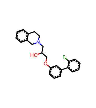 OC(COc1cccc(-c2ccccc2F)c1)CN1CCc2ccccc2C1